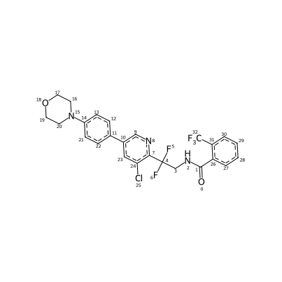 O=C(NCC(F)(F)c1ncc(-c2ccc(N3CCOCC3)cc2)cc1Cl)c1ccccc1C(F)(F)F